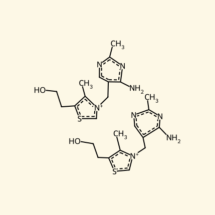 Cc1ncc(C[n+]2csc(CCO)c2C)c(N)n1.Cc1ncc(C[n+]2csc(CCO)c2C)c(N)n1